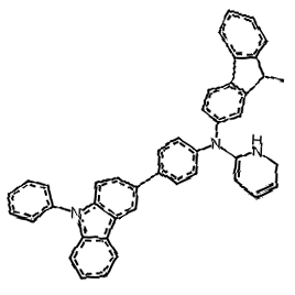 CC1c2ccccc2-c2ccc(N(C3=CC=CCN3)c3ccc(-c4ccc5c(c4)c4ccccc4n5-c4ccccc4)cc3)cc21